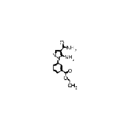 CCOC(=O)c1cccc(-n2ncc(C(N)=O)c2N)c1